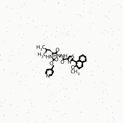 COc1ccc2ccccc2c1-c1nc(C(=O)NNC(=O)[C@H](CC(C)C)NC(=O)OCc2ccncc2)cs1